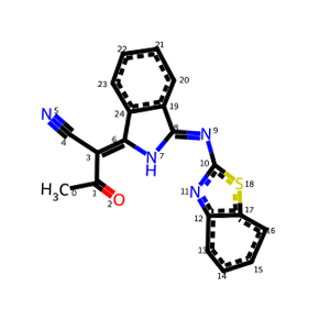 CC(=O)/C(C#N)=C1\N/C(=N\c2nc3ccccc3s2)c2ccccc21